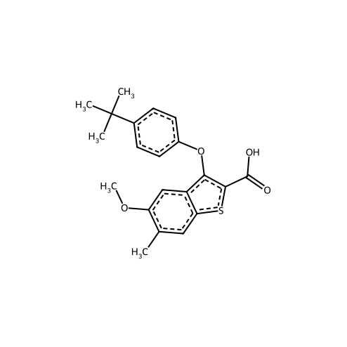 COc1cc2c(Oc3ccc(C(C)(C)C)cc3)c(C(=O)O)sc2cc1C